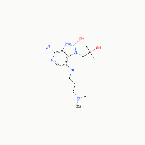 CN(CCCNc1cnc(N)c2nc(O)n(CC(C)(C)O)c12)C(C)(C)C